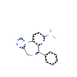 CC(C)N(c1ccc2c(n1)C(c1ccccc1)=NCc1nncn1-2)C(C)C